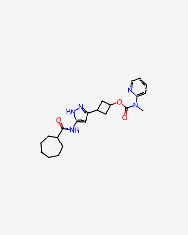 CN(C(=O)OC1CC(c2cc(NC(=O)C3CCCCCC3)[nH]n2)C1)c1ccccn1